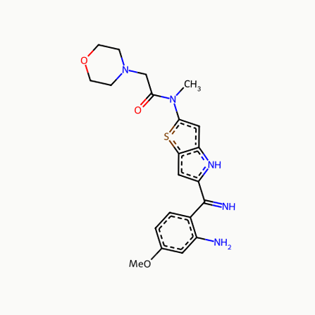 COc1ccc(C(=N)c2cc3sc(N(C)C(=O)CN4CCOCC4)cc3[nH]2)c(N)c1